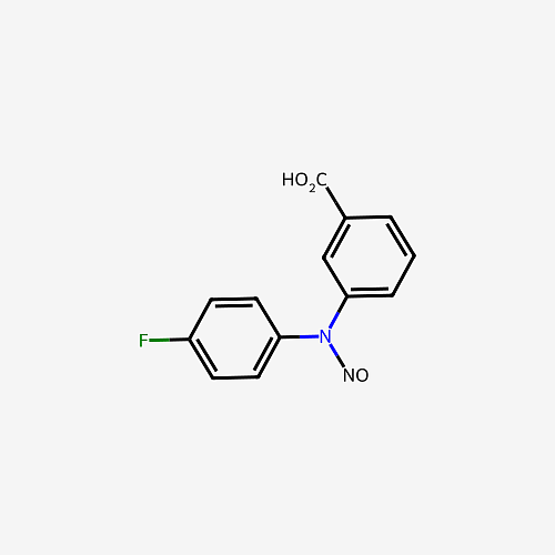 O=NN(c1ccc(F)cc1)c1cccc(C(=O)O)c1